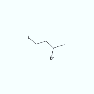 [CH2]C(Br)CCI